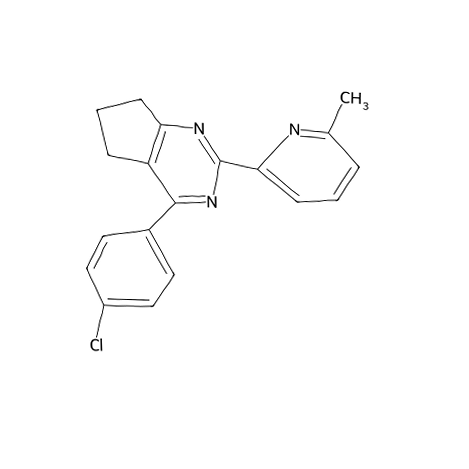 Cc1cccc(-c2nc3c(c(-c4ccc(Cl)cc4)n2)CCC3)n1